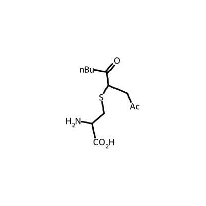 CCCCC(=O)C(CC(C)=O)SCC(N)C(=O)O